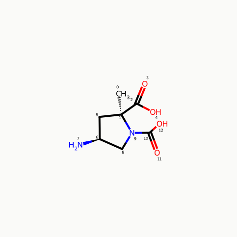 C[C@@]1(C(=O)O)C[C@H](N)CN1C(=O)O